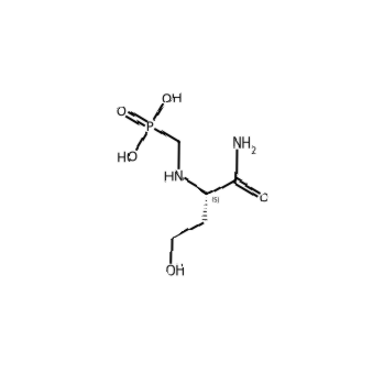 NC(=O)[C@H](CCO)NCP(=O)(O)O